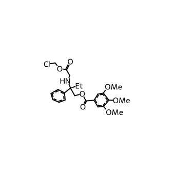 CC[C@](COC(=O)c1cc(OC)c(OC)c(OC)c1)(NCC(=O)OCCl)c1ccccc1